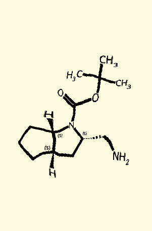 CC(C)(C)OC(=O)N1[C@H](CN)C[C@@H]2CCC[C@@H]21